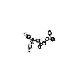 Clc1ccc(-c2cc(-c3ccc(Cl)cc3)nc(-c3cccc(-n4c5ccccc5c5ccc(-c6ccc7c(c6)c6ccccc6n7-c6ccccc6)cc54)c3)n2)cc1